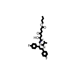 CCCCOC(=O)CCC(=O)C[C@H](O)/C(F)=C/N1C(C(C)C)=NC(c2ccc(F)cc2)=CC1c1ccc(F)cc1